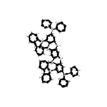 c1ccc(N(c2ccccc2)c2cc3c4c(c2)-n2c5ccccc5c5cccc(c52)B4c2cc4c(cc2S3)Sc2cc(N(c3ccccc3)c3ccccc3)cc3c2B4c2cccc4c5ccccc5n-3c24)cc1